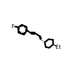 CC[C@H]1CC[C@H](/C=C/C#Cc2ccc(F)cc2)CC1